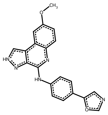 COc1ccc2nc(Nc3ccc(-c4cnco4)cc3)c3n[nH]cc3c2c1